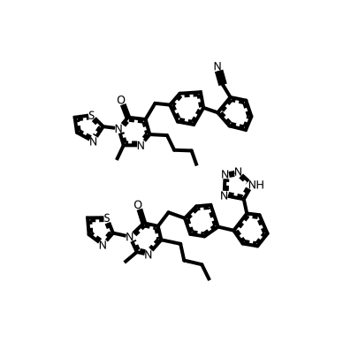 CCCCc1nc(C)n(-c2nccs2)c(=O)c1Cc1ccc(-c2ccccc2-c2nnn[nH]2)cc1.CCCCc1nc(C)n(-c2nccs2)c(=O)c1Cc1ccc(-c2ccccc2C#N)cc1